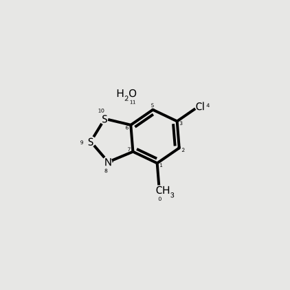 Cc1cc(Cl)cc2c1[N]SS2.O